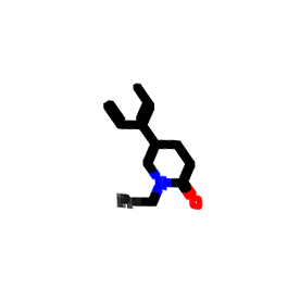 C=C/C(=C\C)C1CCC(=O)N(CC(C)C)C1